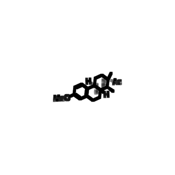 COc1ccc2c(c1)CC[C@@H]1[C@@H]2CC[C@](C)(C(C)=O)[C@H]1C